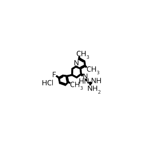 Cc1cc(C)c2c(n1)CC(c1cc(F)ccc1C)CC2=NNC(=N)N.Cl